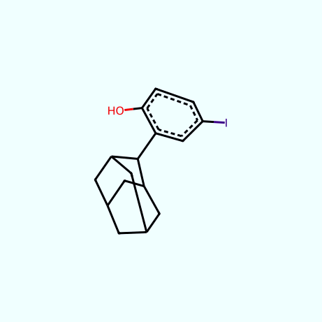 Oc1ccc(I)cc1C1C2CC3CC(C2)CC1C3